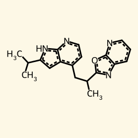 CC(C)c1cc2c(CC(C)c3nc4cccnc4o3)ccnc2[nH]1